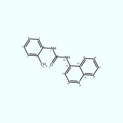 Cc1ccccc1NC(=O)Nc1ccnc2ccccc12